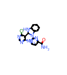 NC(=O)c1ccnc(N2c3ccccc3NC2c2c(N)ncnc2Cl)n1